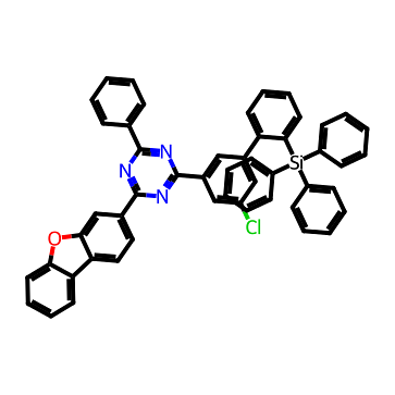 Clc1cc(-c2nc(-c3ccccc3)nc(-c3ccc4c(c3)oc3ccccc34)n2)cc(-c2ccccc2[Si](c2ccccc2)(c2ccccc2)c2ccccc2)c1